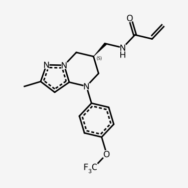 C=CC(=O)NC[C@H]1CN(c2ccc(OC(F)(F)F)cc2)c2cc(C)nn2C1